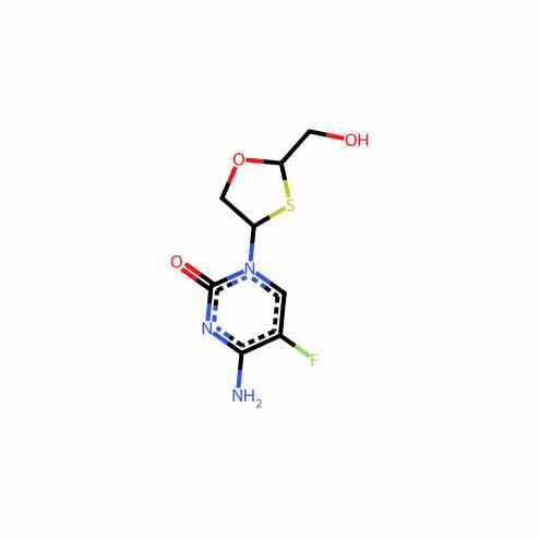 Nc1nc(=O)n(C2COC(CO)S2)cc1F